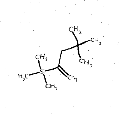 C=C(CC(C)(C)C)[Si](C)(C)C